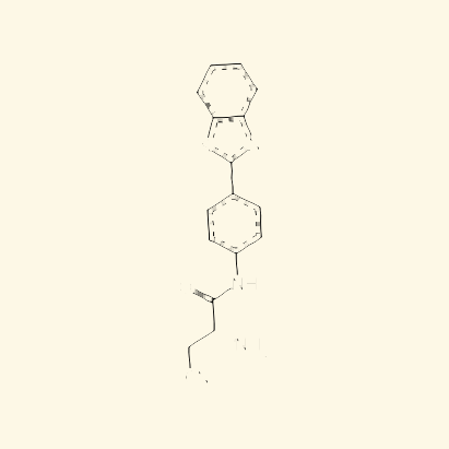 N#CC[C@@H](N)C(=O)Nc1ccc(-c2nc3ccccc3s2)cc1